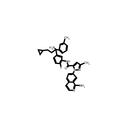 Cc1cccc(C(N)(CCC2CC2)c2ccc(F)c(NC(=O)c3cc(C)nn3-c3ccc4ccnc(N)c4c3)c2)c1